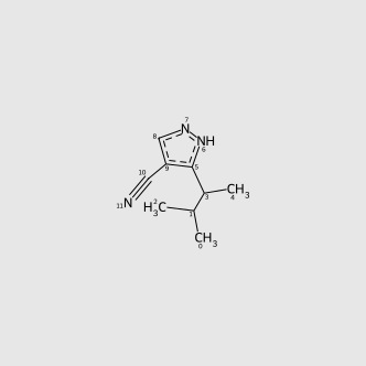 CC(C)C(C)c1[nH]ncc1C#N